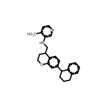 O=C(O)c1ccncc1NCC1CCOc2cc(C3CCCc4ccccc43)ccc21